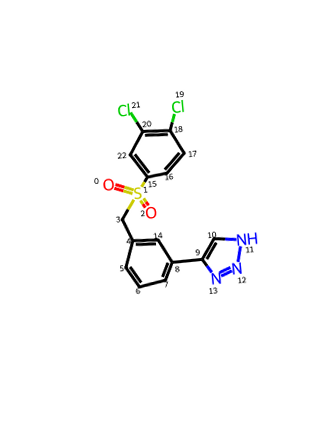 O=S(=O)(Cc1cccc(-c2c[nH]nn2)c1)c1ccc(Cl)c(Cl)c1